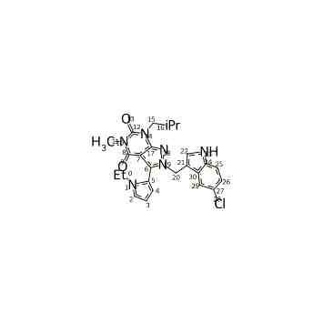 CCn1cccc1-c1c2c(=O)n(C)c(=O)n(CC(C)C)c2nn1Cc1c[nH]c2ccc(Cl)cc12